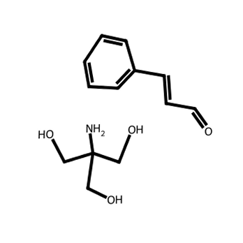 NC(CO)(CO)CO.O=C/C=C/c1ccccc1